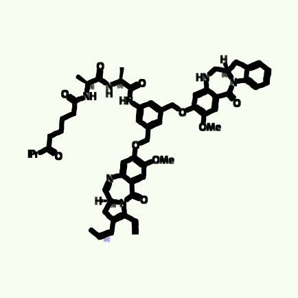 C=CC1=C(/C=C\C)C[C@H]2C=Nc3cc(OCc4cc(COc5cc6c(cc5OC)C(=O)N5c7ccccc7C[C@H]5CN6)cc(NC(=O)[C@H](C)NC(=O)[C@H](C)NC(=O)CCCCC(=O)C(C)C)c4)c(OC)cc3C(=O)N12